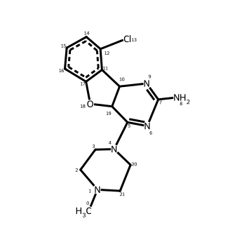 CN1CCN(C2=NC(N)=NC3c4c(Cl)cccc4OC23)CC1